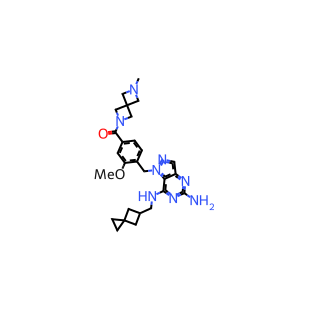 COc1cc(C(=O)N2CC3(CN(C)C3)C2)ccc1Cn1ncc2nc(N)nc(NCC3CC4(CC4)C3)c21